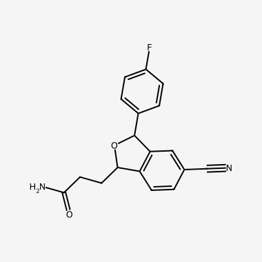 N#Cc1ccc2c(c1)C(c1ccc(F)cc1)OC2CCC(N)=O